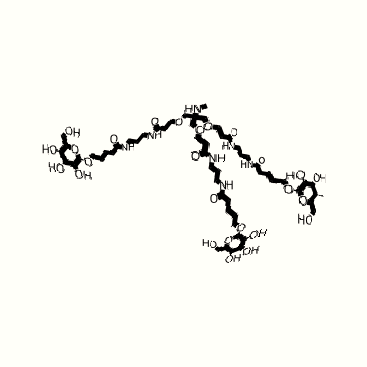 CNC(COCCC(=O)NCCCNC(=O)CCCCO[C@H]1OC(CO)[C@@H](O)[C@H](O)C1O)(COCCC(=O)NCCCNC(=O)CCCCO[C@H]1OC(CO)[C@@H](C)C(O)[C@H]1O)COCCC(=O)NCCCNC(=O)CCCCO[C@H]1OC(CO)[C@@H](O)C(O)[C@H]1O